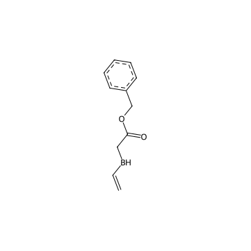 C=CBCC(=O)OCc1ccccc1